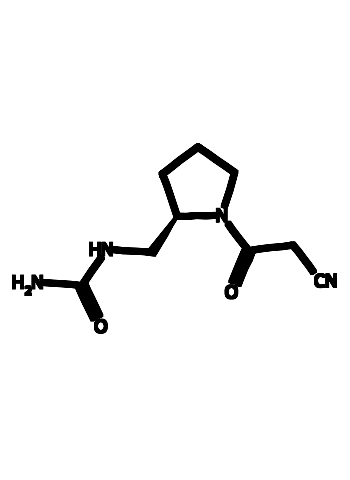 N#CCC(=O)N1CCC[C@@H]1CNC(N)=O